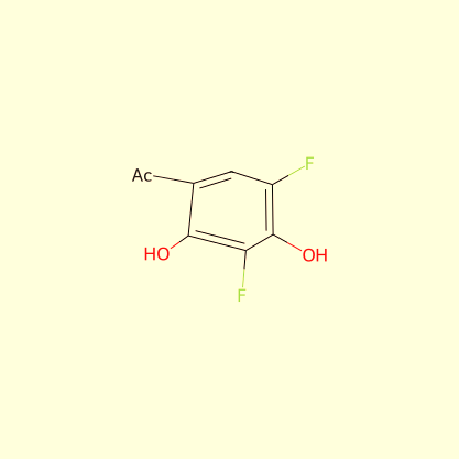 CC(=O)c1cc(F)c(O)c(F)c1O